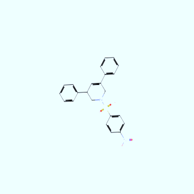 O=[N+]([O-])c1ccc(S(=O)(=O)N2CC(c3ccccc3)=CC(c3ccccc3)C2)cc1